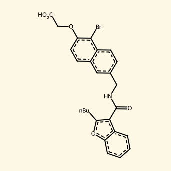 CCCCc1oc2ccccc2c1C(=O)NCc1ccc2c(Br)c(OCC(=O)O)ccc2c1